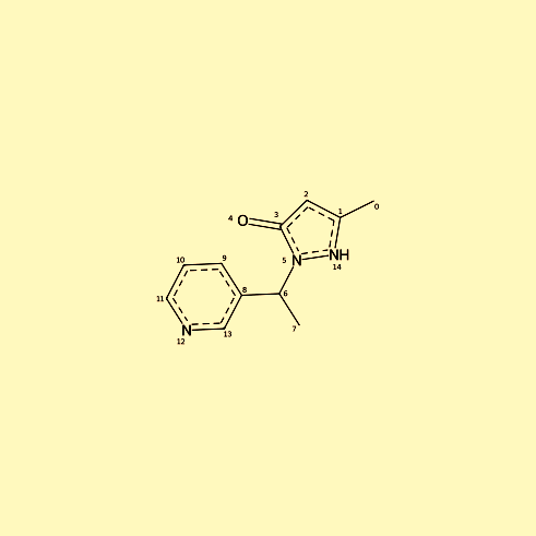 Cc1cc(=O)n(C(C)c2cccnc2)[nH]1